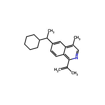 C=C(C)c1ncc(C)c2cc(C(C)C3CCCCC3)ccc12